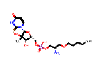 CCCCCCCCCCCCCCOC[C@H](N)COP(=O)(O)OC[C@H]1O[C@@H](n2ccc(=O)[nH]c2=S)C(C)(O)[C@H]1O